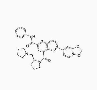 O=C(Nc1ccccc1)c1cc(C(=O)N2CCC[C@H]2CN2CCCC2)c2cc(-c3ccc4c(c3)OCO4)ccc2n1